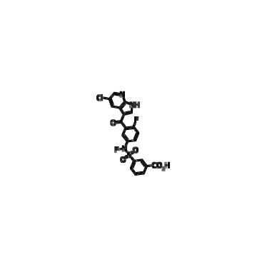 O=C(O)c1cccc(S(=O)(=O)N(F)c2ccc(F)c(C(=O)c3c[nH]c4ncc(Cl)cc34)c2)c1